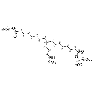 CCCCCCCCCOC(=O)CCCCCCCN(CCCCCCCC(=O)OC(CCCCCCCC)CCCCCCCC)CCCNNC